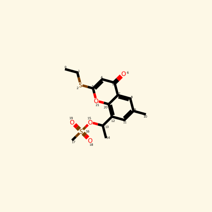 CCSc1cc(=O)c2cc(C)cc(C(C)OS(C)(=O)=O)c2o1